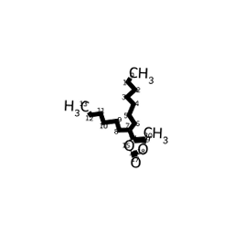 CCCCCCCC(CCCCCC)c1oc(=O)oc1C